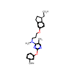 COc1cccc(Oc2ncc(C)c(N(C)CCCOc3ccc4c(c3)CC[C@H]4CC(=O)O)n2)c1